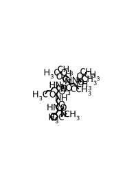 CCCC[C@@H](NC(=O)[C@@H]1C2OC(C)(C)O[C@H]2CN1C(=O)[C@@H](NC(=O)OC(C)(C)C)C(C)(C)C)C(=O)C(=O)NCC(=O)NC(C(=O)N(C)C)c1ccccc1